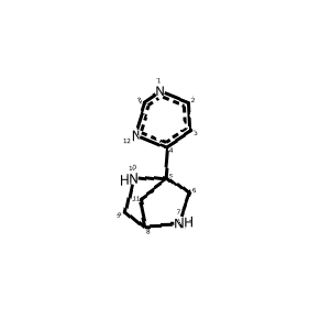 [c]1nccc(C23CNC(CN2)C3)n1